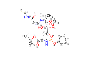 COC(COP(N[C@@H](C)C(=O)OC(C)C)Oc1ccccc1)[C@H](O)C(C)(O)N(C)/C=C\C(=O)NC=S